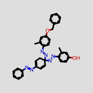 Cc1cc(O)ccc1N=NC1(N=Nc2ccc(OCc3ccccc3)cc2C)C=CC(N=Nc2ccccc2)=CC1